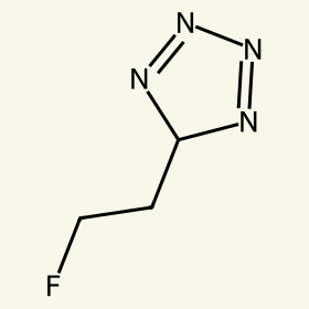 FCCC1N=NN=N1